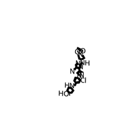 CCS(=O)(=O)N1CCC(Nc2ncc(C#N)c(-c3cnn(-c4ccc(CN[C@H]5CC[C@@](C)(O)CC5)cc4Cl)c3)n2)CC1